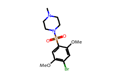 COc1cc(S(=O)(=O)N2CCN(C)CC2)c(OC)cc1Br